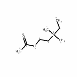 CC[N+](C)(C)CCOC(C)=O